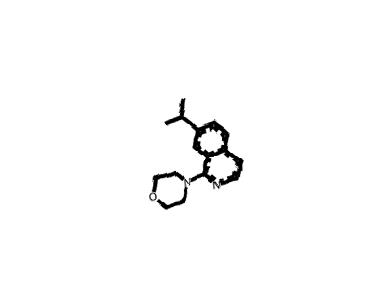 CC(C)c1ccc2ccnc(N3CCOCC3)c2c1